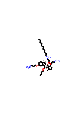 CCCCCCCCCCCNCCC[C@@H](C)[C@H]1CC[C@@H](C)[C@]1(C)[C@H](C[C@@H](C)[C@@]1(C)CC[C@@H](OCCCN)CC1C[C@H](C)OCCCC)OCCCN